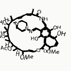 COC1C#CC(O)=c2c(O)c3c(/C=N/N4CCN(C)CC4)c(O)c2=C1C(=O)O/C=C/C(OC)[C@@H](C)C(OC(C)=O)[C@H](C)C(O)[C@H](C)C(O)[C@@H](C)/C=C/C=C(/C)C(=O)N3